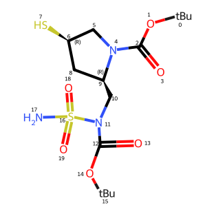 CC(C)(C)OC(=O)N1C[C@H](S)C[C@@H]1CN(C(=O)OC(C)(C)C)S(N)(=O)=O